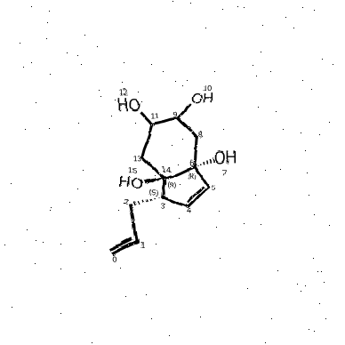 C=CC[C@H]1C=C[C@]2(O)CC(O)C(O)C[C@@]12O